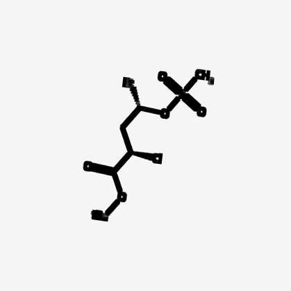 CC[C@@H](C[C@@H](Cl)C(=O)OC(C)(C)C)OS(C)(=O)=O